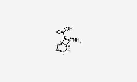 NC1=C(C(=O)O)c2ccccc21